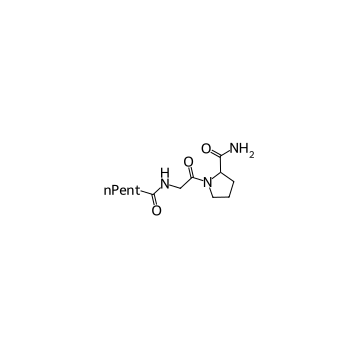 CCCCCC(=O)NCC(=O)N1CCCC1C(N)=O